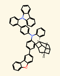 c1ccc(-n2c3ccccc3c3ccccc32)c(-c2ccc(N(c3ccc(-c4ccc5oc6ccccc6c5c4)cc3)c3ccccc3[C@]34CC5C[C@H]6CC(C3)[C@H]6C54)cc2)c1